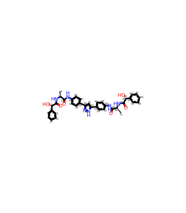 C[C@H](NC(=O)[C@H](O)c1ccccc1)C(=O)Nc1ccc(-c2cc(-c3ccc(NC(=O)[C@H](C)NC(=O)[C@H](O)c4ccccc4)cc3)[nH]n2)cc1